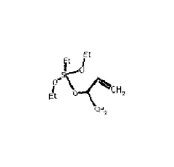 C=CC(C)O[Si](CC)(OCC)OCC